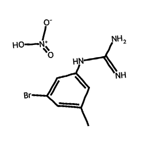 Cc1cc(Br)cc(NC(=N)N)c1.O=[N+]([O-])O